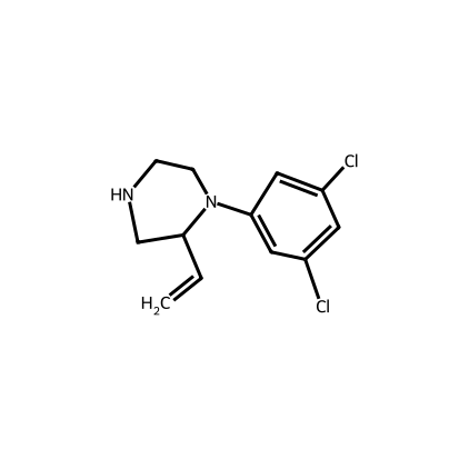 C=CC1CNCCN1c1cc(Cl)cc(Cl)c1